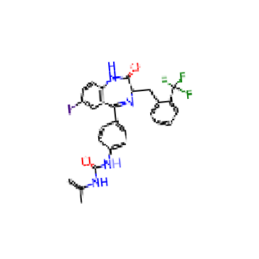 C=C(C)NC(=O)Nc1ccc(C2=NC(Cc3ccccc3C(F)(F)F)C(=O)Nc3ccc(I)cc32)cc1